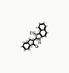 CCN1c2c(ccc3ccccc23)BC1C1Cc2ccccc2C1=O